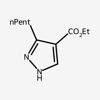 CCCCCc1n[nH]cc1C(=O)OCC